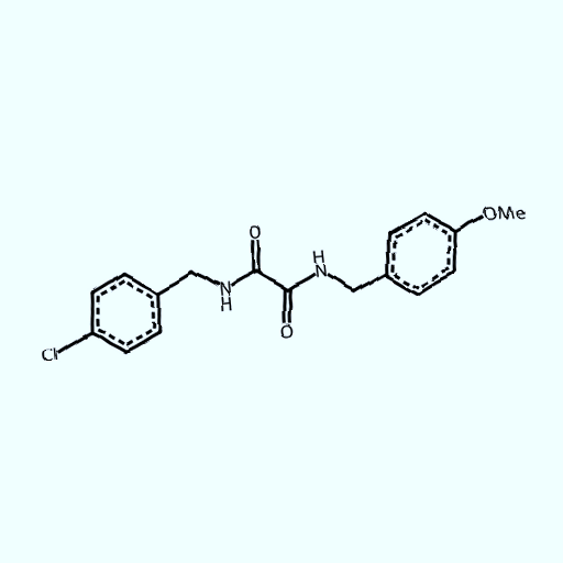 COc1ccc(CNC(=O)C(=O)NCc2ccc(Cl)cc2)cc1